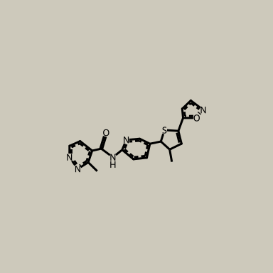 Cc1nnccc1C(=O)Nc1ccc(C2SC(c3ccno3)=CC2C)cn1